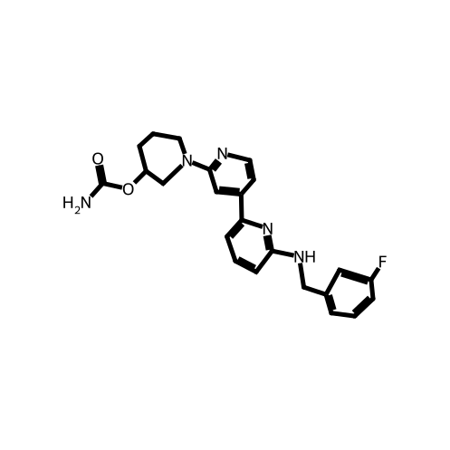 NC(=O)OC1CCCN(c2cc(-c3cccc(NCc4cccc(F)c4)n3)ccn2)C1